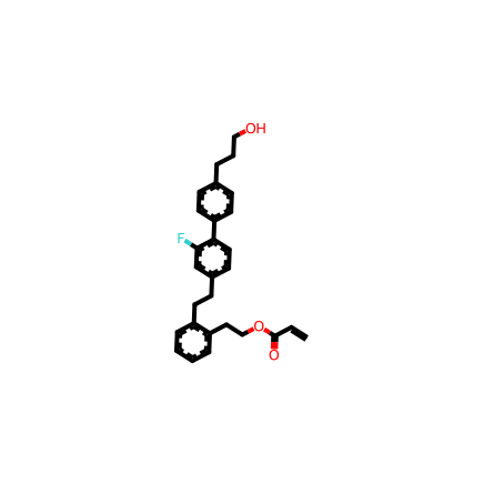 C=CC(=O)OCCc1ccccc1CCc1ccc(-c2ccc(CCCO)cc2)c(F)c1